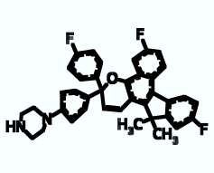 CC1(C)c2cc(F)ccc2-c2c1c1c(c3cc(F)ccc23)OC(c2ccc(F)cc2)(c2ccc(N3CCNCC3)cc2)C=C1